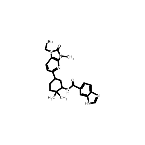 Cn1c(=O)n(CC(C)(C)C)c2ccc(C3CCC(C)(C)C(NC(=O)c4ccc5nc[nH]c5c4)C3)nc21